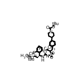 CC(C)(C)OC(=O)N1CCC(c2ccc(CC3C(C)(C)OC(N[C@@H](CCO[Si](C)(C)C(C)(C)C)c4ccccc4F)=NS3(=O)=O)cc2)CC1